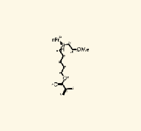 C=C(C)C(=O)OCCCCC[SiH](CCC)CCOC